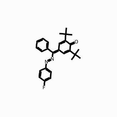 CC(C)(C)C1=CC(=C(N=Nc2ccc(F)cc2)c2ccccc2)C=C(C(C)(C)C)C1=O